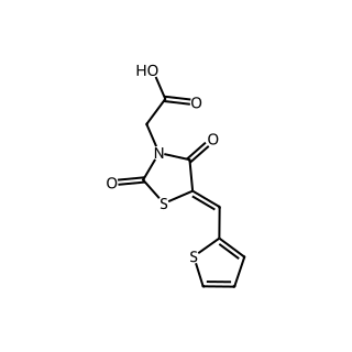 O=C(O)CN1C(=O)S/C(=C\c2cccs2)C1=O